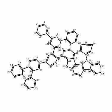 c1ccc(-c2nc(-c3ccccc3)nc(-c3cc(-c4ccc(-c5ccccc5)c(-c5ccccc5)c4)cnc3-c3cccc4c3sc3ccc5c6ccccc6n(-c6ccccc6)c5c34)n2)cc1